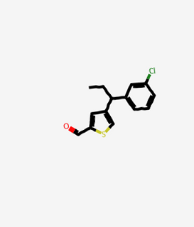 CCC(c1cccc(Cl)c1)c1csc(C=O)c1